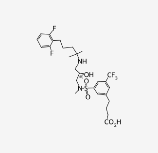 CN(C[C@H](O)CNC(C)(C)CCCc1c(F)cccc1F)S(=O)(=O)c1cc(CCCC(=O)O)cc(C(F)(F)F)c1